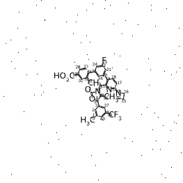 Cc1cc([C@H]2OC(=O)N(Cc3nc(N4CCC4)ccc3-c3cc(F)cc(-c4ccc(C(=O)O)cc4C)c3)[C@H]2C)cc(C(F)(F)F)c1